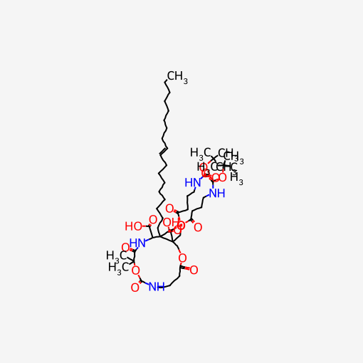 CCCCCCCCC=CCCCCCCCCC1(C(=O)O)C(C(=O)O)NC(=O)C(C)(C)OC(=O)NCCCC(=O)OCC1(COC(=O)CCCNC(=O)OC(C)(C)C)COC(=O)CCCNC(=O)OC(C)(C)C